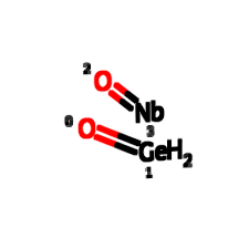 [O]=[GeH2].[O]=[Nb]